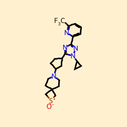 [O-][S+]1CC2(CCN(C3CCC(c4nc(-c5cccc(C(F)(F)F)n5)nn4C4CC4)C3)CC2)C1